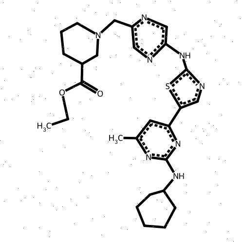 CCOC(=O)C1CCCN(Cc2cnc(Nc3ncc(-c4cc(C)nc(NC5CCCCC5)n4)s3)cn2)C1